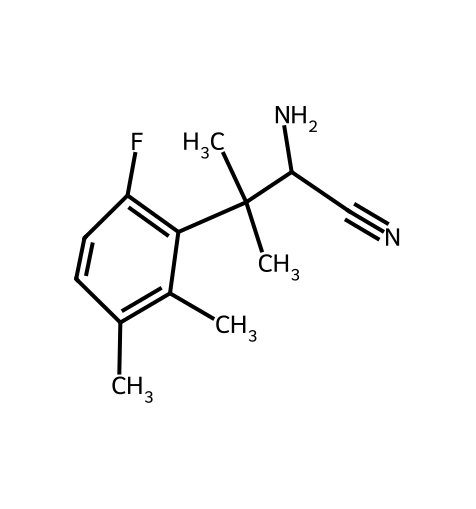 Cc1ccc(F)c(C(C)(C)C(N)C#N)c1C